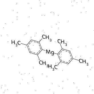 Cc1cc(C)[c]([Mg][c]2c(C)cc(C)cc2C)c(C)c1